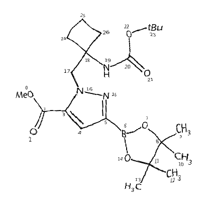 COC(=O)c1cc(B2OC(C)(C)C(C)(C)O2)nn1CC1(NC(=O)OC(C)(C)C)CCC1